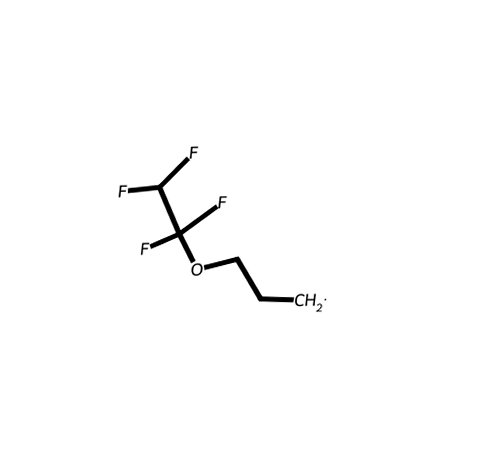 [CH2]CCOC(F)(F)C(F)F